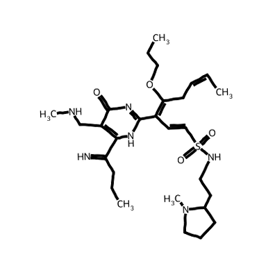 C/C=C\C/C(OCCC)=C(\C=C\S(=O)(=O)NCCC1CCCN1C)c1nc(=O)c(CNC)c(C(=N)CCC)[nH]1